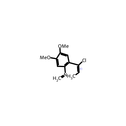 C=Nc1cc(OC)c(OC)cc1/C(Cl)=C\C